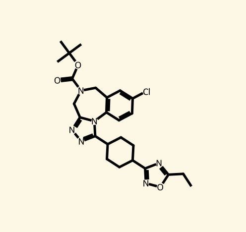 CCc1nc(C2CCC(c3nnc4n3-c3ccc(Cl)cc3CN(C(=O)OC(C)(C)C)C4)CC2)no1